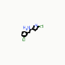 N/C(=C\c1cccc(Cl)c1)c1ccc(Cl)nc1